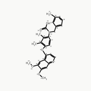 COc1cc2nccc(Oc3ccc(N(Cc4cccc(C)c4)C(=O)O)c(C)c3C)c2cc1OC